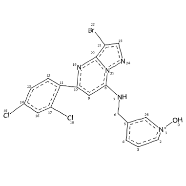 O[n+]1cccc(CNc2cc(-c3ccc(Cl)cc3Cl)nc3c(Br)cnn23)c1